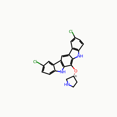 Clc1ccc2[nH]c3c(O[C@@H]4CCNC4)c4[nH]c5ccc(Cl)cc5c4cc3c2c1